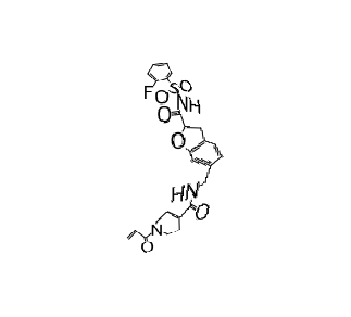 C=CC(=O)N1CCC(C(=O)NCc2ccc3c(c2)OC(C(=O)NS(=O)(=O)c2ccccc2F)C3)CC1